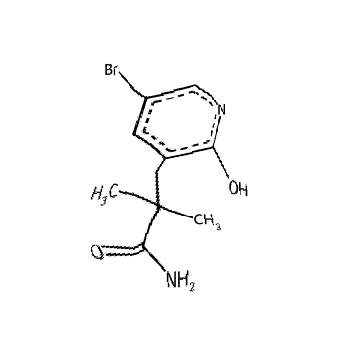 CC(C)(C(N)=O)c1cc(Br)cnc1O